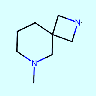 CN1CCCC2(C[N]C2)C1